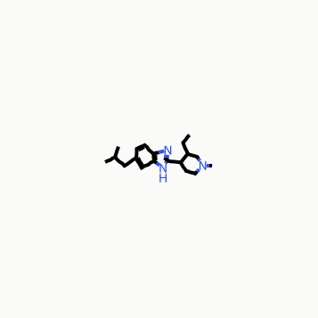 CCC1CN(C)CCC1c1nc2ccc(CC(C)C)cc2[nH]1